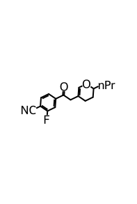 CCCC1CCC(CC(=O)c2ccc(C#N)c(F)c2)=CO1